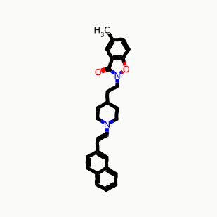 Cc1ccc2on(CCC3CCN(C=Cc4ccc5ccccc5c4)CC3)c(=O)c2c1